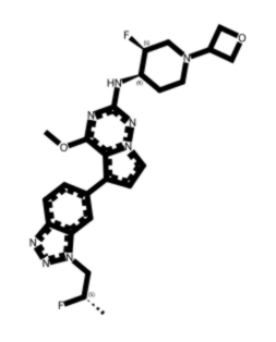 COc1nc(N[C@@H]2CCN(C3COC3)C[C@@H]2F)nn2ccc(-c3ccc4nnn(C[C@H](C)F)c4c3)c12